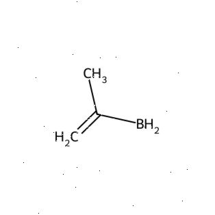 BC(=C)C